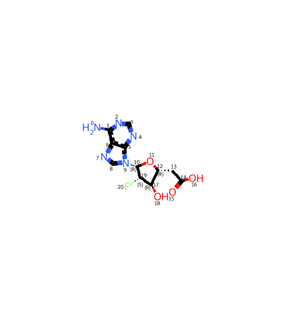 Nc1ncnc2c1ncn2[C@@H]1O[C@H](CC(=O)O)[C@@H](O)[C@@H]1F